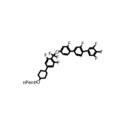 CCCCCOC1CCC(c2cc(F)c(C(F)(F)Oc3ccc(-c4ccc(-c5cc(F)c(F)c(F)c5)c(F)c4)c(F)c3)c(F)c2)CC1